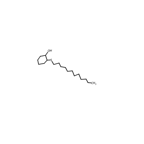 CCCCCCCCCCCCSC1CCCCC1O